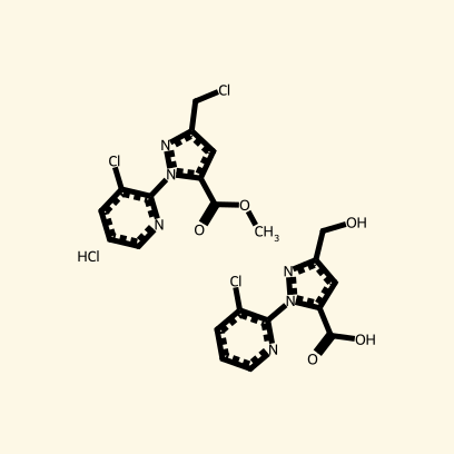 COC(=O)c1cc(CCl)nn1-c1ncccc1Cl.Cl.O=C(O)c1cc(CO)nn1-c1ncccc1Cl